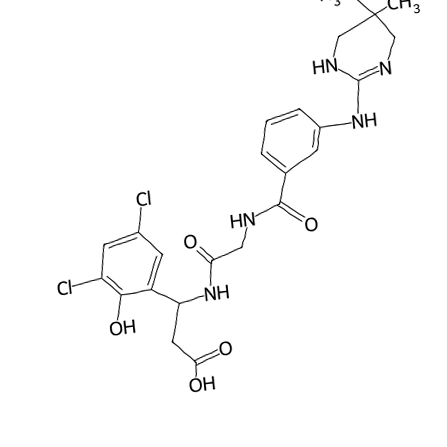 CC1(C)CN=C(Nc2cccc(C(=O)NCC(=O)NC(CC(=O)O)c3cc(Cl)cc(Cl)c3O)c2)NC1